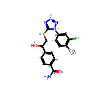 NC(=O)c1ccc(C(O)CSc2nnnn2-c2ccc(C(=O)O)c(F)c2)cc1